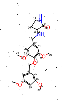 COc1cc(COc2c(OC)cc(CNC3CCNC3=O)cc2OC)cc(OC)c1